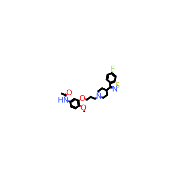 COc1ccc(NC(C)=O)cc1OCCCN1CCC(c2nsc3cc(F)ccc23)CC1